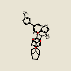 CN(C)CC(=O)N1CC2CCC(C1)N2c1ccc(-c2cc(-c3cnn(C)c3)cn3ncc(Cl)c23)cn1